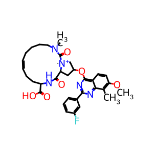 COc1ccc2c(OC3CC4C(=O)NC(C(=O)O)CCC=CCCCCN(C)C(=O)[N+]4C3)nc(-c3cccc(F)c3)nc2c1C